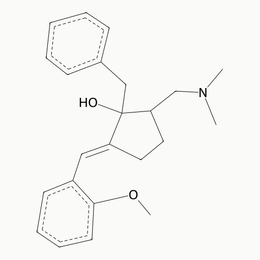 COc1ccccc1/C=C1\CCC(CN(C)C)C1(O)Cc1ccccc1